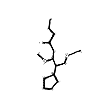 CCCC(I)CC(OC)C(COC)C1CCCC1